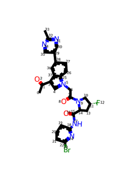 CC(=O)c1cn(CC(=O)N2C[C@H](F)CC2C(=O)Nc2cccc(Br)n2)c2ccc(-c3cnc(C)nc3)cc12